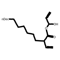 C=CC(O)OC(=O)C(C=C)CCCCCCCCCCCCCCCC